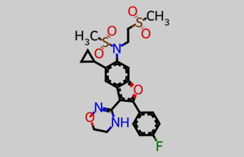 CS(=O)(=O)CCN(c1cc2oc(-c3ccc(F)cc3)c(C3=NOCCN3)c2cc1C1CC1)S(C)(=O)=O